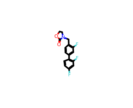 O=C1OCCN1Cc1ccc(-c2ccc(F)cc2F)cc1F